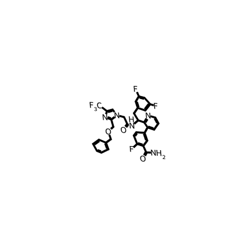 NC(=O)c1cc(-c2cccnc2C(Cc2cc(F)cc(F)c2)NC(=O)Cn2cc(C(F)(F)F)nc2COCc2ccccc2)ccc1F